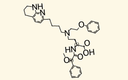 CO[C@@H](C(=O)N[C@@H](CCN(CCCCc1ccc2c(n1)NCCC2)CCOc1ccccc1)C(=O)O)c1ccccc1